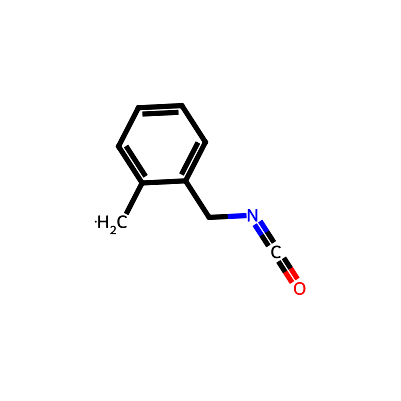 [CH2]c1ccccc1CN=C=O